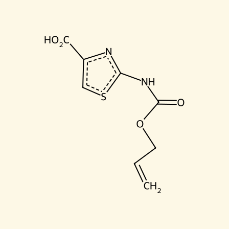 C=CCOC(=O)Nc1nc(C(=O)O)cs1